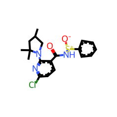 CC1CN(c2nc(Cl)ccc2C(=O)N[S+]([O-])c2ccccc2)C(C)(C)C1